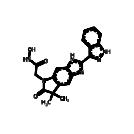 CC1(C)C(=O)N(CC(=O)NO)c2cc3[nH]c(-c4n[nH]c5ccccc45)nc3cc21